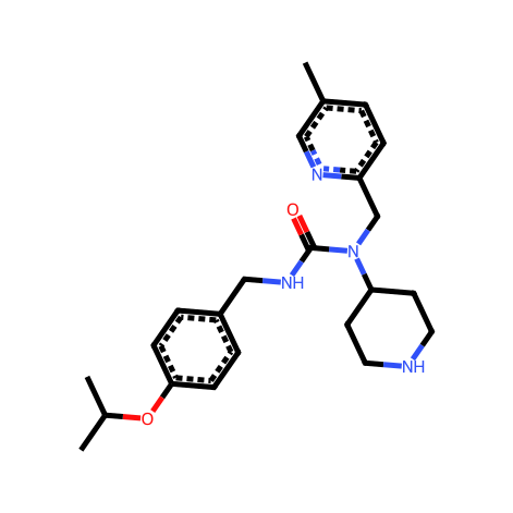 Cc1ccc(CN(C(=O)NCc2ccc(OC(C)C)cc2)C2CCNCC2)nc1